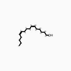 CCCC/C=C\CCC/C=C\CCCCCO